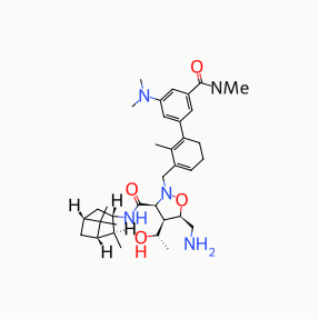 CNC(=O)c1cc(C2=C(C)C(CN3O[C@@H](CN)[C@@H]([C@H](C)O)[C@H]3C(=O)N[C@H]3C[C@H]4C[C@@H]([C@@H]3C)C4(C)C)=CCC2)cc(N(C)C)c1